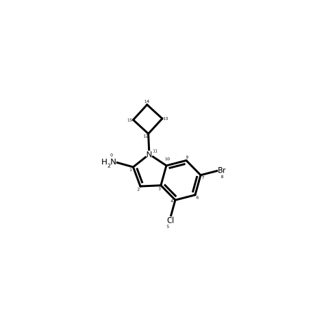 Nc1cc2c(Cl)cc(Br)cc2n1C1CCC1